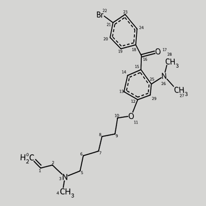 C=CCN(C)CCCCCCOc1ccc(C(=O)c2ccc(Br)cc2)c(N(C)C)c1